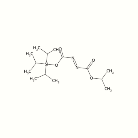 CC(C)OC(=O)N=NC(=O)O[Si](C(C)C)(C(C)C)C(C)C